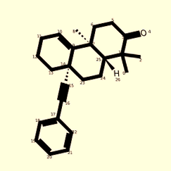 CC1(C)C(=O)CC[C@]2(C)C3=CCCC[C@]3(C#Cc3ccccc3)CC[C@@H]12